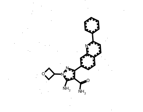 NC(=O)c1c(-c2ccc3ccc(-c4ccccc4)nc3c2)nn(C2COC2)c1N